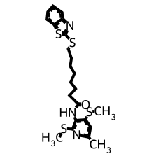 CSc1cc(C)nc(SC)c1NC(=O)CCCCCCCSc1nc2ccccc2s1